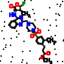 COC(=O)CCc1ccc(S(=O)(=O)N2CCN(Cc3nc(N[C@@H]4C(=O)OC(F)C4C)c4ccccc4n3)CC2)cc1C